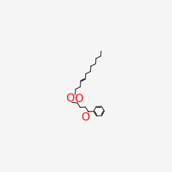 CCCCCCCC=CCCC1OCC(CCC(=O)c2ccccc2)O1